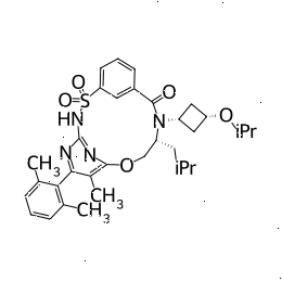 Cc1cccc(C)c1-c1nc2nc(c1C)OC[C@@H](CC(C)C)N([C@H]1C[C@@H](OC(C)C)C1)C(=O)c1cccc(c1)S(=O)(=O)N2